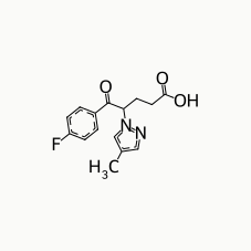 Cc1cnn(C(CCC(=O)O)C(=O)c2ccc(F)cc2)c1